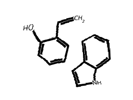 C=Cc1ccccc1O.c1ccc2[nH]ccc2c1